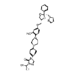 CCC(CC)n1ncn(-c2ccc(N3CCN(c4ccc(OC[C@@H]5CO[C@@](Cn6nccn6)(c6ccccc6)O5)cc4C#N)CC3)cc2)c1=O